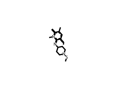 C=c1c(C)cc(=C/C)/c(=N\C2CCN(SC)CC2)n1C